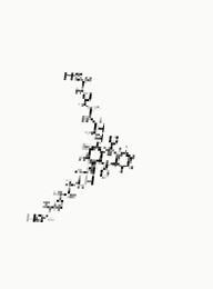 O=C1c2ccccc2C(=O)c2c(NCCCCCOCCO)ccc(NCCCCCOCCO)c21